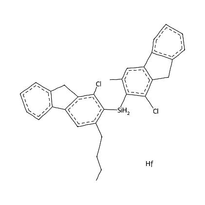 CCCCc1cc2c(c(Cl)c1[SiH2]c1c(C)cc3c(c1Cl)Cc1ccccc1-3)Cc1ccccc1-2.[Hf]